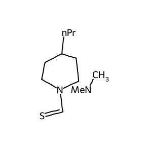 CCCC1CCN(C=S)CC1.CNC